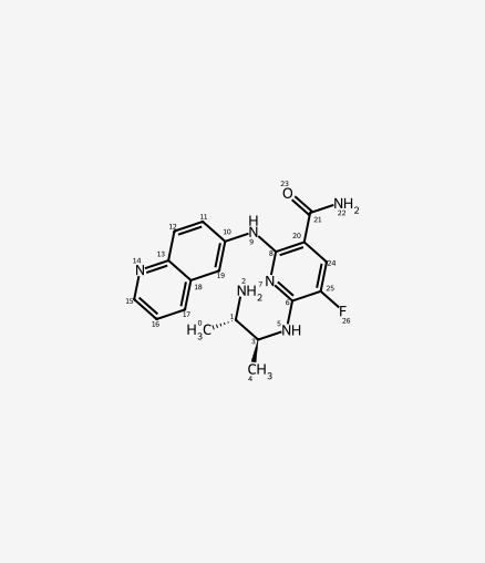 C[C@H](N)[C@H](C)Nc1nc(Nc2ccc3ncccc3c2)c(C(N)=O)cc1F